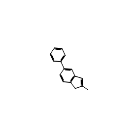 CC1=Cc2cc(-c3ccccc3)ccc2[CH]1